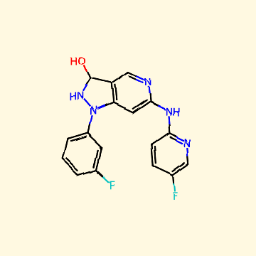 OC1NN(c2cccc(F)c2)c2cc(Nc3ccc(F)cn3)ncc21